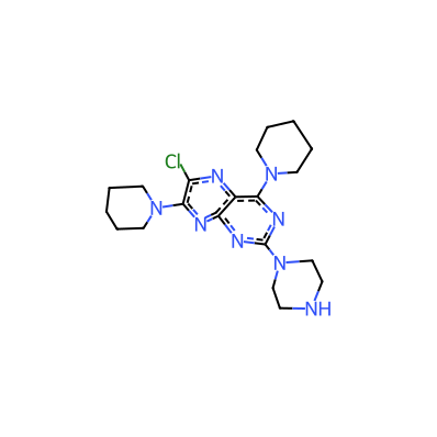 Clc1nc2c(N3CCCCC3)nc(N3CCNCC3)nc2nc1N1CCCCC1